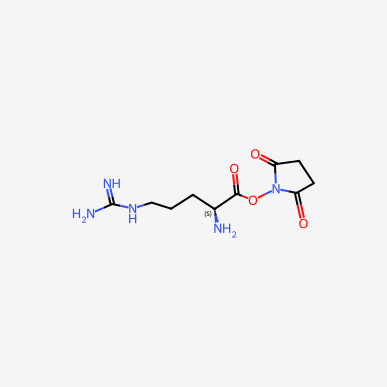 N=C(N)NCCC[C@H](N)C(=O)ON1C(=O)CCC1=O